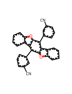 [C-]#[N+]c1cccc(-c2c3oc4ccccc4c3c(-c3cccc(C#N)c3)c3oc4ccccc4c23)c1